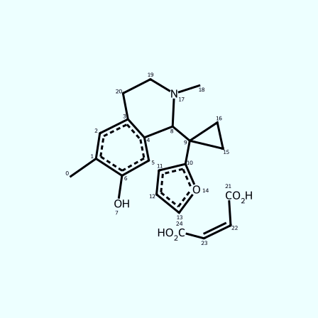 Cc1cc2c(cc1O)C(C1(c3ccco3)CC1)N(C)CC2.O=C(O)/C=C\C(=O)O